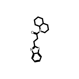 O=C(CCc1nc2ccccc2s1)N1CCCC2CCCCC21